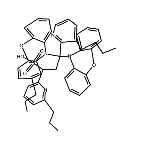 CCCCc1cccnc1C(CC(c1cccc(CCC)n1)S(=O)(=O)O)(N1c2ccccc2Oc2ccccc21)N1c2ccccc2Oc2ccc(CCC)cc21